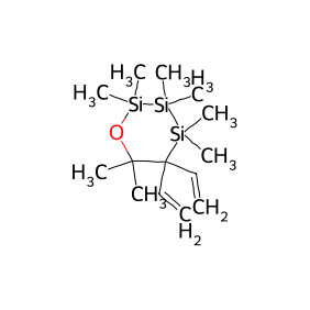 C=CC1(C=C)C(C)(C)O[Si](C)(C)[Si](C)(C)[Si]1(C)C